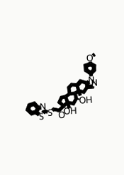 COc1ccc(-n2ncc3c2C=C2CCC4C([C@@H](O)CC5(C)C4CC[C@]5(O)C(=O)CSc4nc5ccccc5s4)C2(C)C3)cc1